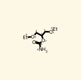 CCOCC(COCC)OC(N)=O